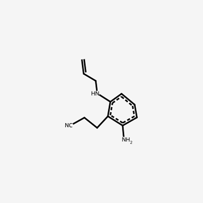 C=CCNc1cccc(N)c1CCC#N